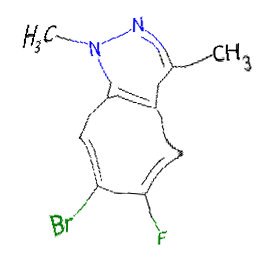 Cc1nn(C)c2cc(Br)c(F)cc12